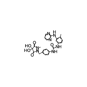 Cc1ccc(NC(=O)Nc2ccc(CN3C(=O)C(O)(O)C(=O)N3C)cc2)cc1Nc1ncccn1